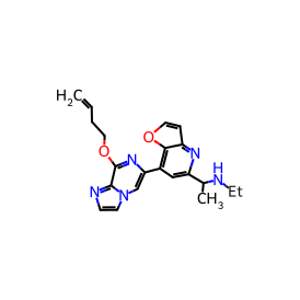 C=CCCOc1nc(-c2cc(C(C)NCC)nc3ccoc23)cn2ccnc12